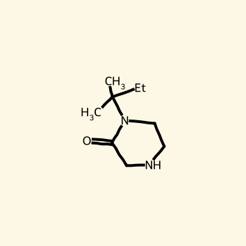 CCC(C)(C)N1CCNCC1=O